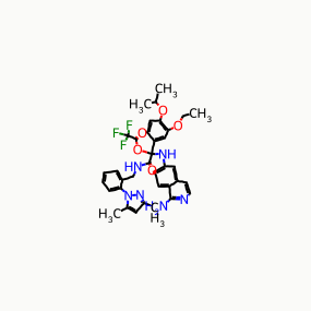 CCOc1cc(C(Nc2ccc3c(N)nccc3c2)(OC(=O)C(F)(F)F)C(=O)NCc2ccccc2-n2nc(C)cc2C)ccc1OC(C)C